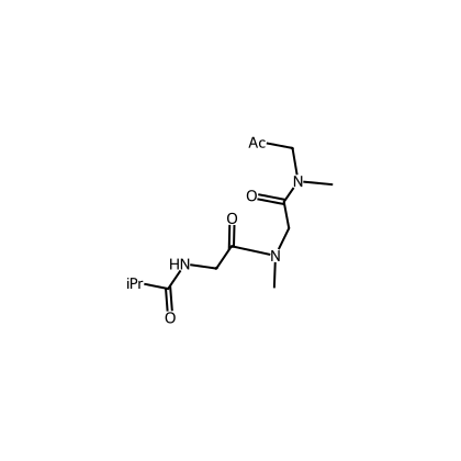 CC(=O)CN(C)C(=O)CN(C)C(=O)CNC(=O)C(C)C